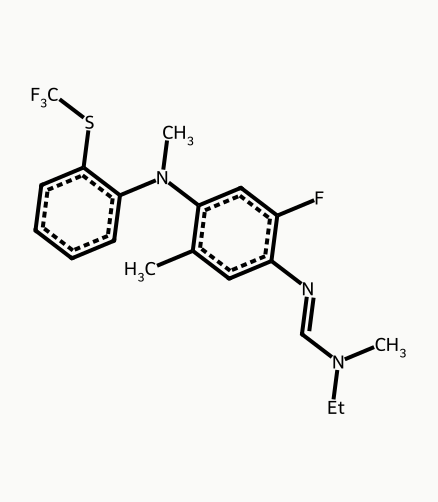 CCN(C)/C=N/c1cc(C)c(N(C)c2ccccc2SC(F)(F)F)cc1F